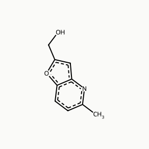 Cc1ccc2oc(CO)cc2n1